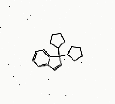 C1=CC(C2CCCC2)(C2CCCC2)c2ccccc21